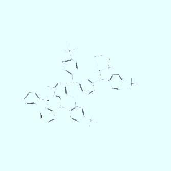 Cc1cc2c3c4c1C1(C)c5ccccc5-c5cccc(c51)N4c1ccc(C(C)(C)C)cc1B3c1ccc(N3c4ccc(C(C)(C)C)cc4C4(C)CCCCC34C)cc1N2c1ccc(C(C)(C)C)cc1